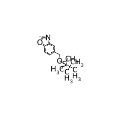 CC(C)(C)[Si](C)(C)OCc1ccc2o[c]nc2c1